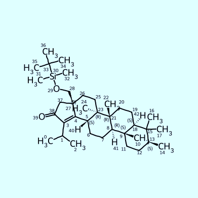 CC(C)C1=C2[C@H]3CC[C@@H]4[C@@]5(C)CC[C@H](C)C(C)(C)[C@@H]5CC[C@@]4(C)[C@]3(C)CC[C@@]2(CO[Si](C)(C)C(C)(C)C)CC1=O